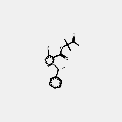 CC(=O)C(C)(C)OC(=O)c1c(F)nnn1[C@H](C)c1ccccc1